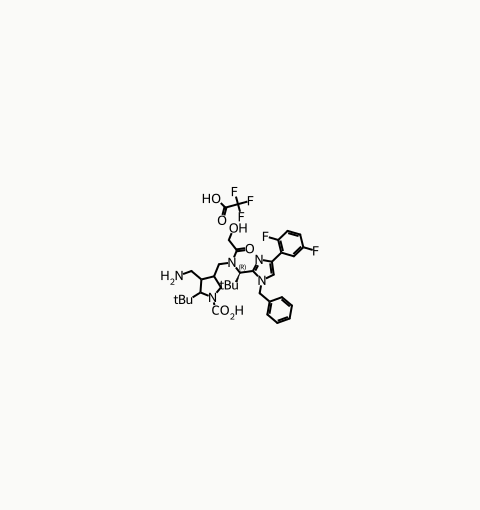 CC(C)(C)C1C(CN)C(CN(C(=O)CO)[C@@H](c2nc(-c3cc(F)ccc3F)cn2Cc2ccccc2)C(C)(C)C)CN1C(=O)O.O=C(O)C(F)(F)F